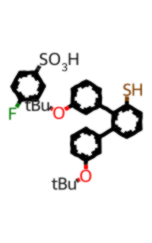 CC(C)(C)Oc1cccc(-c2cccc(S)c2-c2cccc(OC(C)(C)C)c2)c1.O=S(=O)(O)c1ccc(F)cc1